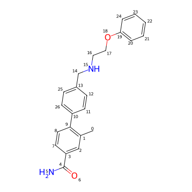 Cc1cc(C(N)=O)ccc1-c1ccc(CNCCOc2ccccc2)cc1